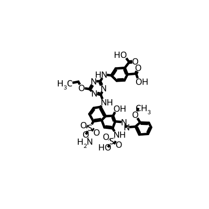 CCOc1nc(Nc2ccc(C(=O)O)c(C(=O)O)c2)nc(Nc2ccc(S(=O)(=O)ON)c3cc(NS(=O)(=O)O)c(N=Nc4ccccc4OC)c(O)c23)n1